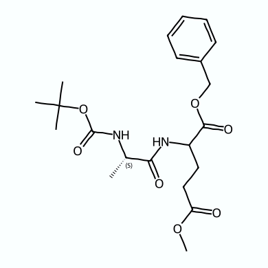 COC(=O)CCC(NC(=O)[C@H](C)NC(=O)OC(C)(C)C)C(=O)OCc1ccccc1